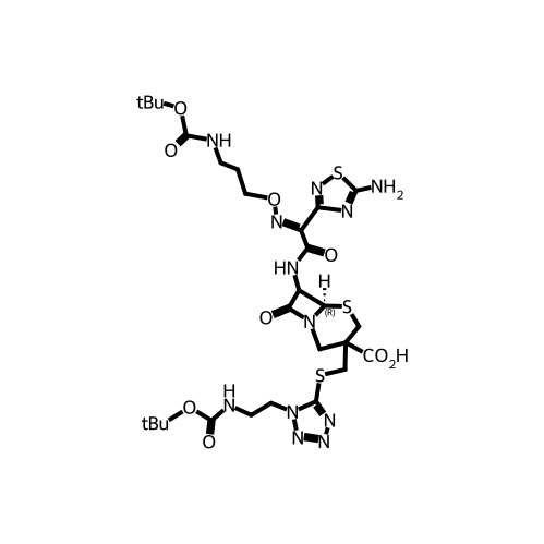 CC(C)(C)OC(=O)NCCCON=C(C(=O)NC1C(=O)N2CC(CSc3nnnn3CCNC(=O)OC(C)(C)C)(C(=O)O)CS[C@H]12)c1nsc(N)n1